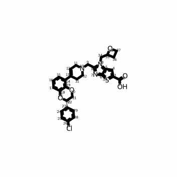 O=C(O)c1cc2c(nc(CN3CC=C(c4cccc5c4OC[C@H](c4ccc(Cl)cc4)O5)CC3)n2CC2CCO2)s1